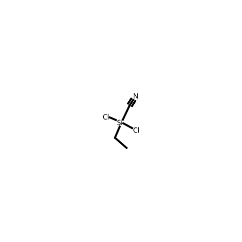 CC[Si](Cl)(Cl)C#N